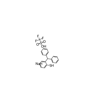 O=S(=O)(O)C(F)(F)F.Sc1ccccc1C(c1ccccc1)c1ccccc1.[NaH]